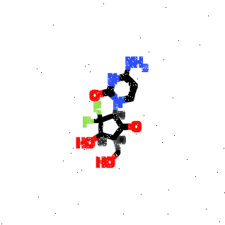 Nc1ccn([C@@H]2C(=O)[C@H](CO)[C@@H](O)C2(F)F)c(=O)n1